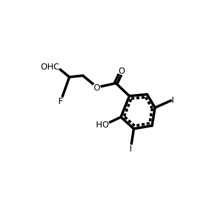 O=CC(F)COC(=O)c1cc(I)cc(I)c1O